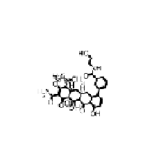 COC1=C(C(N)=O)C(=O)[C@@]2(O)C(O)=C3C(=O)c4c(O)ccc(-c5cccc(C(=O)NCCO)c5)c4C[C@H]3C[C@H]2[C@@H]1N(C)C